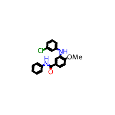 COc1ccc(C(=O)Nc2ccccc2)cc1Nc1cccc(Cl)c1